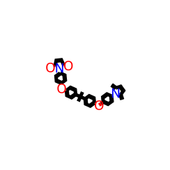 C=c1ccc(=C)n1-c1ccc(Oc2ccc(C(C)(C)c3ccc(Oc4ccc(N5C(=O)C=CC5=O)cc4)cc3)cc2)cc1